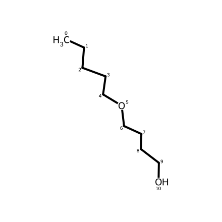 CCCCCOCCCCO